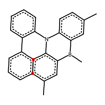 CB1c2cc(C)ccc2N(c2ccccc2-c2ccccc2)c2ccc(C)cc21